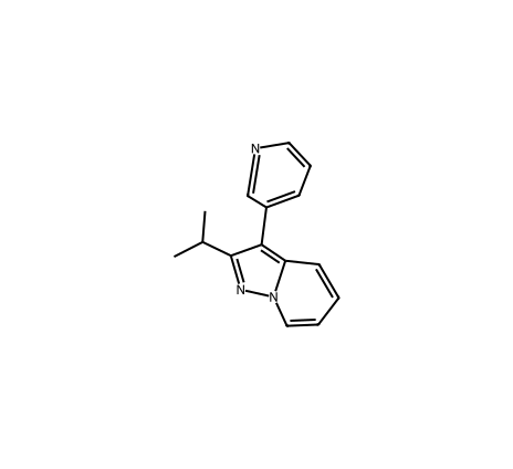 CC(C)c1nn2ccccc2c1-c1cccnc1